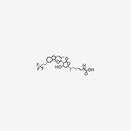 CC(=Cc1cc2ccc(CCC(F)(F)F)cc2s1)C(=O)c1c(O)cc(C(C)CCC=CNC(=O)O)oc1=O